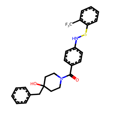 O=C(c1ccc(NSc2ccccc2C(F)(F)F)cc1)N1CCC(O)(Cc2ccccc2)CC1